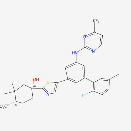 Cc1ccc(F)c(-c2cc(Nc3nccc(C(F)(F)F)n3)cc(-c3cnc([C@@]4(O)CC[C@H](C(=O)O)C(C)(C)C4)s3)c2)c1